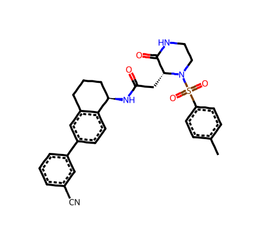 Cc1ccc(S(=O)(=O)N2CCNC(=O)[C@H]2CC(=O)N[C@@H]2CCCc3cc(-c4cccc(C#N)c4)ccc32)cc1